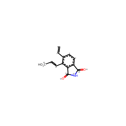 C=Cc1ccc2c(c1C=CC(=O)O)C(=O)NC2=O